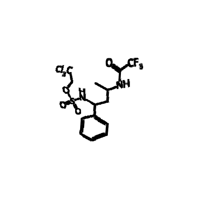 CC(CC(NS(=O)(=O)OCC(Cl)(Cl)Cl)c1ccccc1)NC(=O)C(F)(F)F